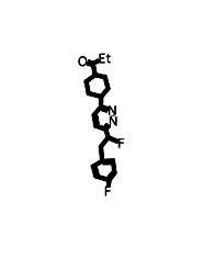 CCC(=O)C1CCC(c2ccc(C(F)Cc3ccc(F)cc3)nn2)CC1